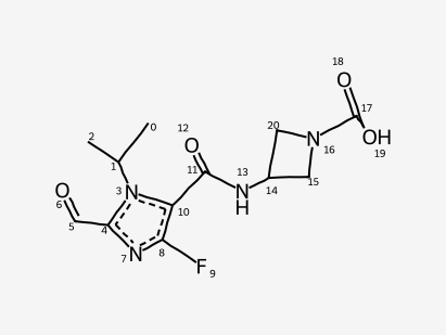 CC(C)n1c(C=O)nc(F)c1C(=O)NC1CN(C(=O)O)C1